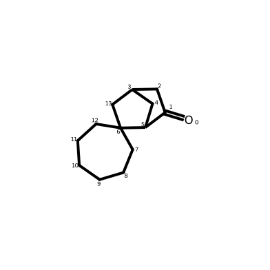 O=C1CC2CC1C1(CCCCCC1)C2